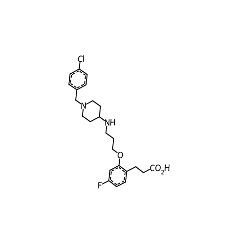 O=C(O)CCc1ccc(F)cc1OCCCNC1CCN(Cc2ccc(Cl)cc2)CC1